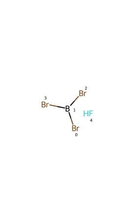 BrB(Br)Br.F